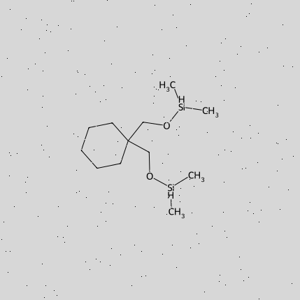 C[SiH](C)OCC1(CO[SiH](C)C)CCCCC1